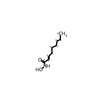 CCCCCCC=CC(=O)NO